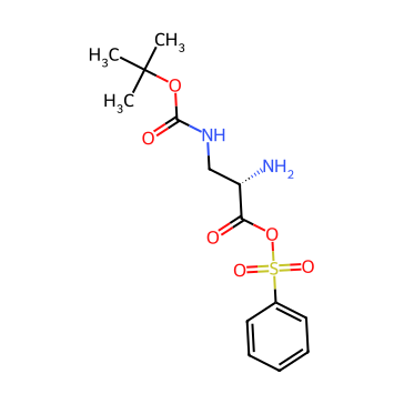 CC(C)(C)OC(=O)NC[C@H](N)C(=O)OS(=O)(=O)c1ccccc1